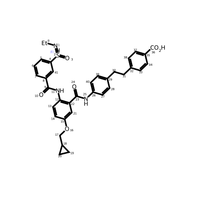 CC/N=[SH](=O)\c1cccc(C(=O)Nc2ccc(OCC3CC3)cc2C(=O)Nc2ccc(CCc3ccc(C(=O)O)cc3)cc2)c1